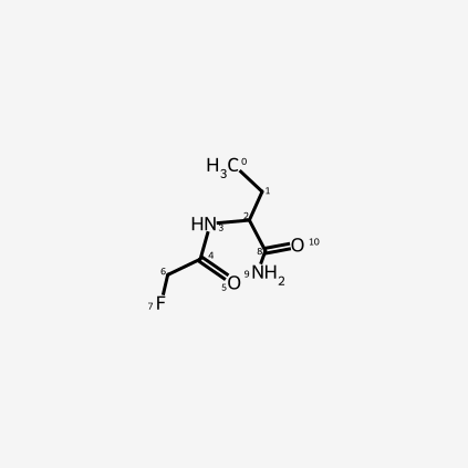 CCC(NC(=O)CF)C(N)=O